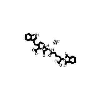 O=C(CCCC(C(=O)[O-])N1C(=O)c2ccccc2C1=O)N[C@@H]1C(=O)N2C(C(=O)[O-])=C(Cc3c[nH]c4ccccc34)CS[C@@H]12.[Na+].[Na+]